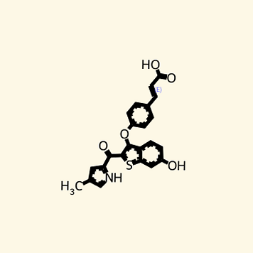 Cc1c[nH]c(C(=O)c2sc3cc(O)ccc3c2Oc2ccc(/C=C/C(=O)O)cc2)c1